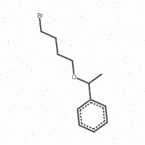 CC(OCCCCBr)c1ccccc1